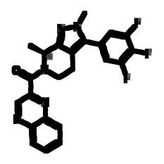 C[C@H]1c2nn(C)c(-c3cc(F)c(F)c(F)c3)c2CCN1C(=O)c1cnc2ccccc2n1